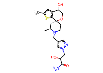 C[C@H]1C[C@@]2(CCN1Cc1cnn(C[C@H](O)C(N)=O)c1)OC[C@@H](O)c1cc(C(F)(F)F)sc12